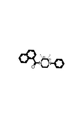 C[C@@H]1[C@H](C)N(c2ccccc2)CCN1C(=O)c1cccc2ccccc12